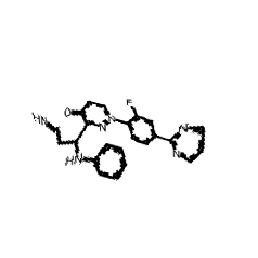 N=CCC(Nc1ccccc1)c1nn(-c2ccc(-c3ncccn3)cc2F)ccc1=O